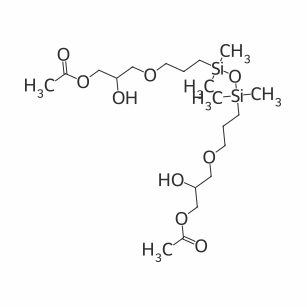 CC(=O)OCC(O)COCCC[Si](C)(C)O[Si](C)(C)CCCOCC(O)COC(C)=O